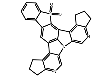 O=S1(=O)c2ccccc2-c2cc3c4c5c(ncc4n4c6cnc7c(c6c(c21)c34)CCC7)CCC5